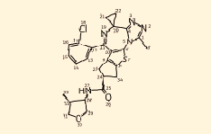 Cc1nnc2n1-c1sc3c(c1C(c1ccccc1Cl)=NC21CC1)C[C@H](C(=O)N[C@H]1COC[C@H]1C)C3